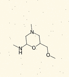 CNC1CN(C)CC(COC)O1